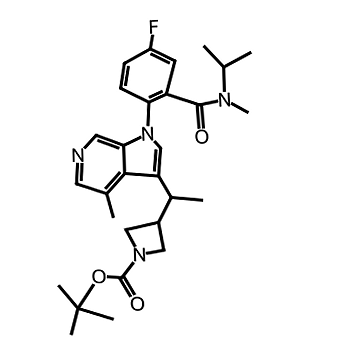 Cc1cncc2c1c(C(C)C1CN(C(=O)OC(C)(C)C)C1)cn2-c1ccc(F)cc1C(=O)N(C)C(C)C